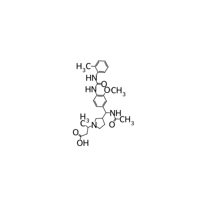 COc1cc(C(NC(C)=O)C2CCN(C(C)CC(=O)O)C2)ccc1NC(=O)Nc1ccccc1C